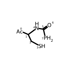 CC(=O)C(CS)NC(=O)P